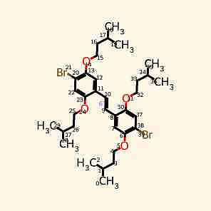 CC(C)CCOc1cc(/C=C/c2cc(OCCC(C)C)c(Br)cc2OCCC(C)C)c(OCCC(C)C)cc1Br